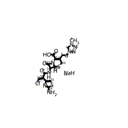 CN1CN(SCC2=C(C(=O)O)N3C(=O)C(NC(=O)/C(=C/Cl)c4csc(N)n4)[C@H]3SC2)N=N1.[NaH]